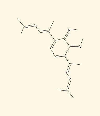 C/N=C1/C(/C(C)=C/C=C(C)C)=CC=C(/C(C)=C/C=C(C)C)/C1=N/C